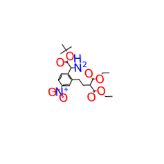 CCOC(=O)C(CCc1cc([N+](=O)[O-])ccc1C(N)C(=O)OC(C)(C)C)C(=O)OCC